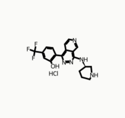 Cl.Oc1cc(C(F)(F)F)ccc1-c1nnc(N[C@@H]2CCCNC2)c2cnccc12